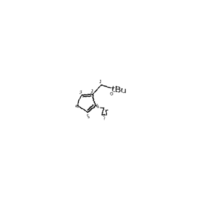 CC(C)(C)CC1=C[CH]C=C1.[Zr]